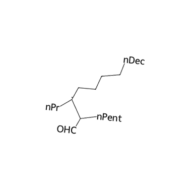 CCCCCCCCCCCCCC[C](CCC)C(C=O)CCCCC